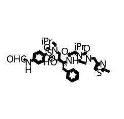 Cc1nc(CN2CCN([C@H](C(=O)N[C@@H](Cc3ccccc3)[C@H](O)CN(CC(C)C)S(=O)(=O)c3ccc(NC=O)cc3)C(C)C)C2=O)cs1